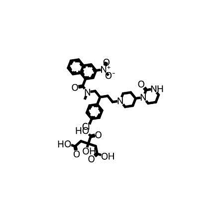 CN(CC(CCN1CCC(N2CCCNC2=O)CC1)c1ccc(Cl)cc1)C(=O)c1cc([N+](=O)[O-])cc2ccccc12.O=C(O)CC(O)(CC(=O)O)C(=O)O